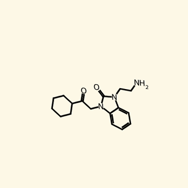 NCCn1c(=O)n(CC(=O)C2CCCCC2)c2ccccc21